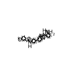 COc1cccc(CC(=O)Nc2ccc(-c3ccc4nc(Nc5ccccc5N)nn4c3)cc2)c1